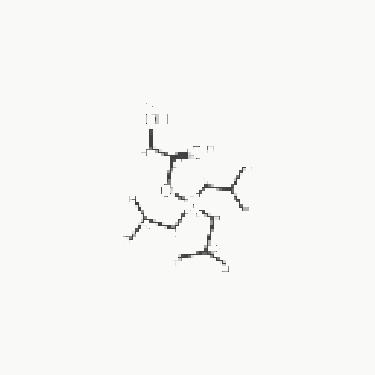 CC(C)C[Si](CC(C)C)(CC(C)C)OC(=O)CO